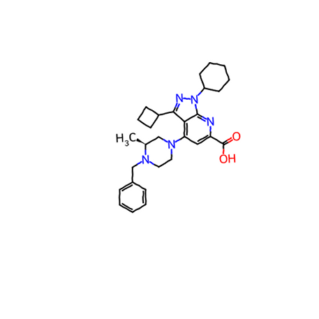 C[C@H]1CN(c2cc(C(=O)O)nc3c2c(C2CCC2)nn3C2CCCCC2)CCN1Cc1ccccc1